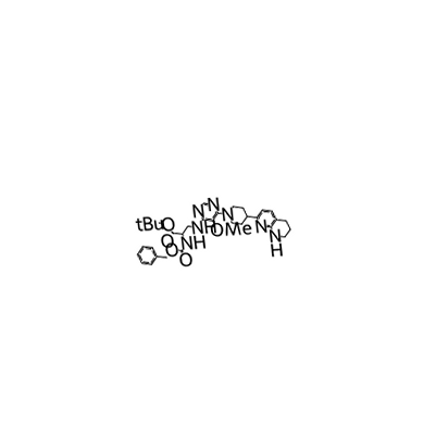 COc1c(NCC(NC(=O)OCc2ccccc2)C(=O)OC(C)(C)C)ncnc1N1CCC(c2ccc3c(n2)NCCC3)CC1